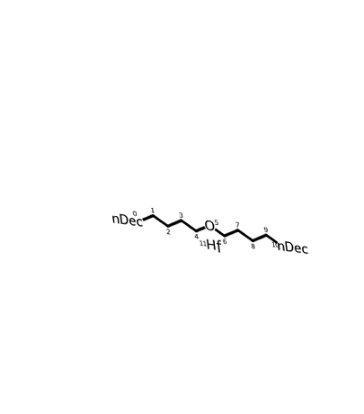 CCCCCCCCCCCCCCOCCCCCCCCCCCCCC.[Hf]